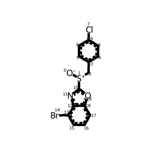 [O-][S+](Cc1ccc(Cl)cc1)c1nc2c(Br)cccc2o1